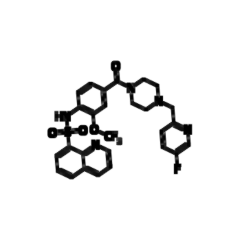 O=C(c1ccc(NS(=O)(=O)c2cccc3cccnc23)c(OC(F)(F)F)c1)N1CCN(Cc2ccc(F)cn2)CC1